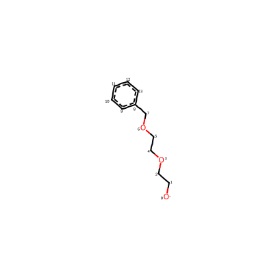 [O]CCOCCOCc1ccccc1